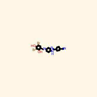 N#Cc1ccc(-c2nc3cc(/N=C/c4cc(Br)c(O)c(Br)c4O)ccc3[nH]2)cc1